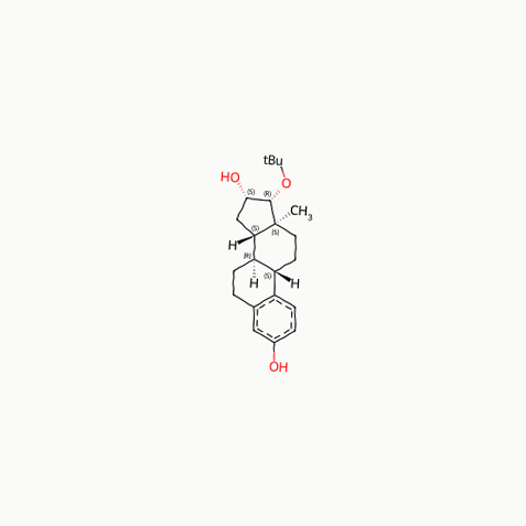 CC(C)(C)O[C@H]1[C@@H](O)C[C@H]2[C@@H]3CCc4cc(O)ccc4[C@H]3CC[C@@]21C